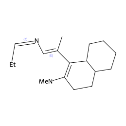 CC/C=N\C=C(/C)C1=C(NC)CCC2CCCCC12